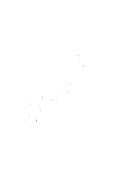 CC(C)(NC(=O)c1cnc2ccccc2c1)c1cn(CCOS(C)(=O)=O)nn1